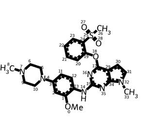 COc1cc(N2CCN(C)CC2)ccc1Nc1nc(Oc2ccccc2S(C)(=O)=O)c2ccn(C)c2n1